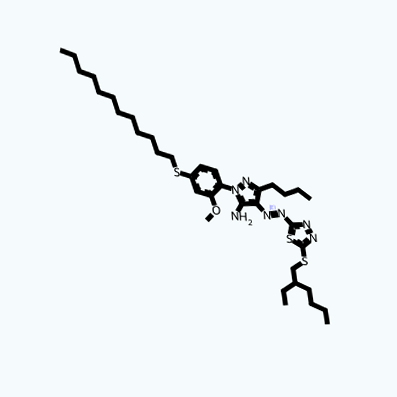 CCCCCCCCCCCCSc1ccc(-n2nc(CCCC)c(/N=N/c3nnc(SCC(CC)CCCC)s3)c2N)c(OC)c1